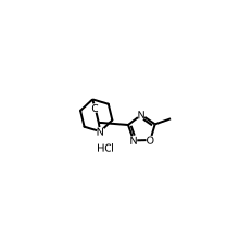 Cc1nc(C2CC3CCN2CC3)no1.Cl